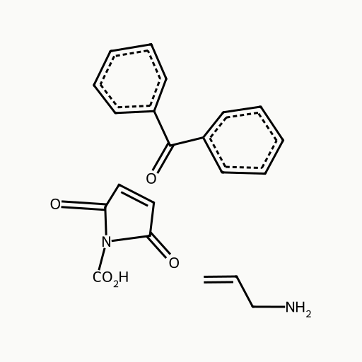 C=CCN.O=C(O)N1C(=O)C=CC1=O.O=C(c1ccccc1)c1ccccc1